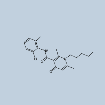 CCCCCn1c(C)cc(=O)c(C(=O)Nc2c(C)cccc2Cl)c1C